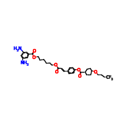 Nc1cc(N)cc(C(=O)OCCCCCCOC(=O)/C=C/c2ccc(OC(=O)C3CCC(OCCCC(F)(F)F)CC3)cc2)c1